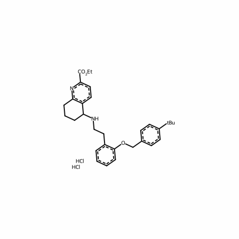 CCOC(=O)c1ccc2c(n1)CCCC2NCCc1ccccc1OCc1ccc(C(C)(C)C)cc1.Cl.Cl